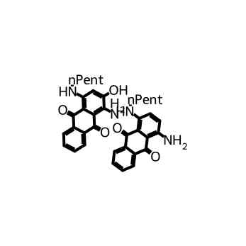 CCCCCNc1cc(O)c(N)c2c1C(=O)c1ccccc1C2=O.CCCCCNc1ccc(N)c2c1C(=O)c1ccccc1C2=O